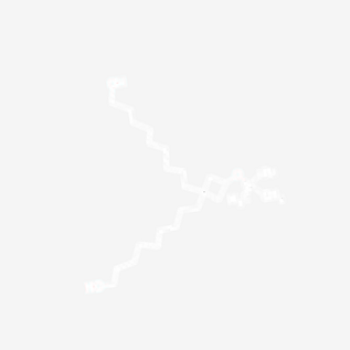 CC(C)(C)[Si](C)(C)OC1CC(CCCCCCCCCO)(CCCCCCCCCO)C1